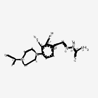 CC(C)N1CCN(c2ccc(C=NNC(N)=S)c(F)c2F)CC1